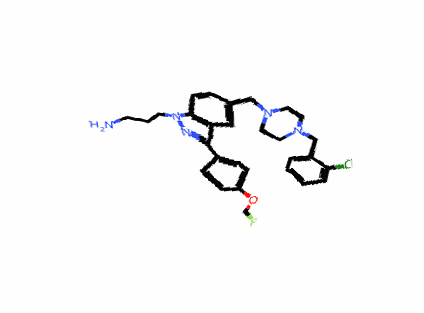 NCCCn1nc(-c2ccc(OCF)cc2)c2cc(CN3CCN(Cc4ccccc4Cl)CC3)ccc21